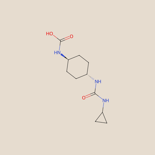 O=C(O)N[C@H]1CC[C@H](NC(=O)NC2CC2)CC1